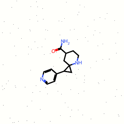 NC(=O)C1CCNC2(C1)CC2c1ccncc1